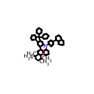 CC1(C)CCC(C)(C)c2cc(-c3cc4c(cc3N(c3ccccc3)c3ccc(-c5cccc6ccccc56)cc3)C(c3ccccc3)(c3ccccc3)c3ccccc3-4)ccc21